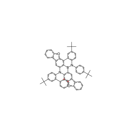 CC(C)(C)c1ccc(N2B3c4cc5c(cc4N(c4ccc(C(C)(C)C)cc4-c4ccccc4)c4cc6c(oc7ccccc76)c(c43)-c3cc(C(C)(C)C)ccc32)oc2ccccc25)cc1